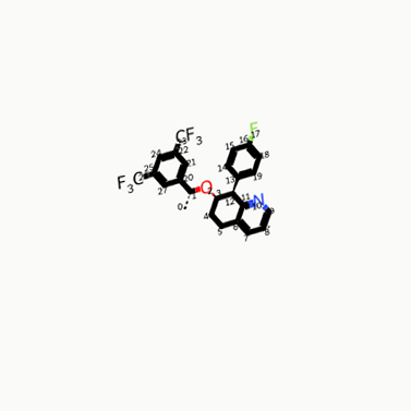 C[C@@H](O[C@H]1CCc2c[c]cnc2[C@@H]1c1ccc(F)cc1)c1cc(C(F)(F)F)cc(C(F)(F)F)c1